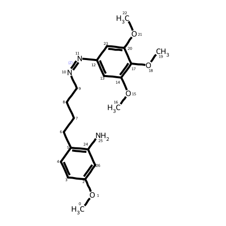 COc1ccc(CCCC/N=N\c2cc(OC)c(OC)c(OC)c2)c(N)c1